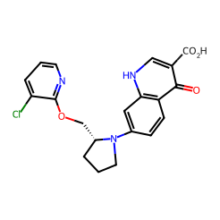 O=C(O)c1c[nH]c2cc(N3CCC[C@@H]3COc3ncccc3Cl)ccc2c1=O